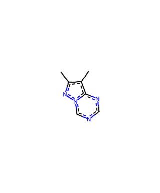 Cc1nn2cncnc2c1C